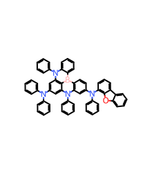 c1ccc(N(c2ccccc2)c2cc3c4c(c2)N(c2ccccc2)c2cc(N(c5ccccc5)c5cccc6c5oc5ccccc56)ccc2B4c2ccccc2N3c2ccccc2)cc1